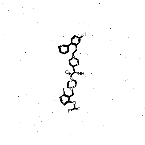 N[C@@H](C(=O)N1CCN(Cc2c(F)cccc2OC(F)F)CC1)C1CCN(CCc2cc(Cl)ccc2-c2ccccc2)CC1